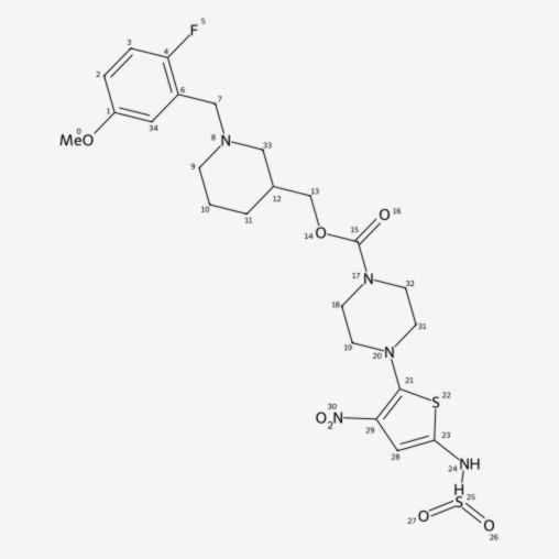 COc1ccc(F)c(CN2CCCC(COC(=O)N3CCN(c4sc(N[SH](=O)=O)cc4[N+](=O)[O-])CC3)C2)c1